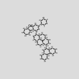 c1ccc(-c2cc(-c3ccc4ccc5c(-c6cc7ccccc7c7ccccc67)ccc6ccc3c4c65)c3c(c2)oc2ccccc23)cc1